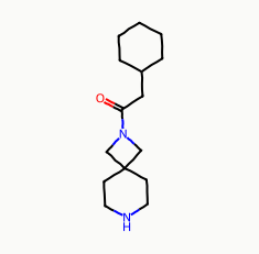 O=C(CC1CCCCC1)N1CC2(CCNCC2)C1